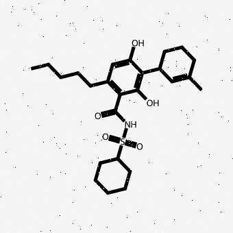 CCCCCc1cc(O)c(C2C=C(C)CCC2)c(O)c1C(=O)NS(=O)(=O)C1CCCCC1